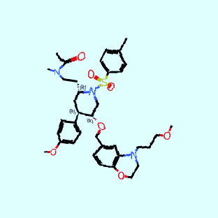 COCCCN1CCOc2ccc(CO[C@H]3CN(S(=O)(=O)c4ccc(C)cc4)[C@@H](CCN(C)C(C)=O)C[C@@H]3c3ccc(OC)cc3)cc21